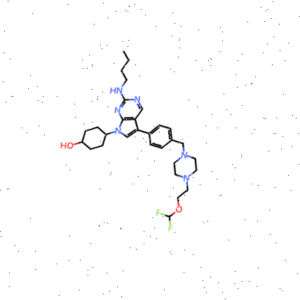 CCCCNc1ncc2c(-c3ccc(CN4CCN(CCOC(F)F)CC4)cc3)cn(C3CCC(O)CC3)c2n1